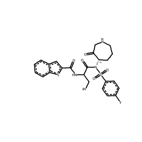 CC(C)CC(NC(=O)c1cc2ccccc2s1)C(=O)N([C@H]1CCCNCC1=O)S(=O)(=O)c1ccc(F)cc1